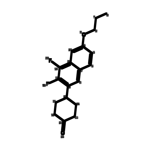 CCCOc1ccc2cc(C3CCC(=O)CC3)c(F)c(F)c2c1